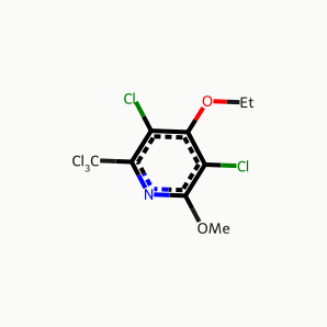 CCOc1c(Cl)c(OC)nc(C(Cl)(Cl)Cl)c1Cl